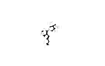 FC(F)(F)Cc1cc2c(N3C[C@H]4NC[C@@]4(S)C3)ncnc2s1